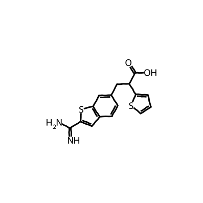 N=C(N)c1cc2ccc(CC(C(=O)O)c3cccs3)cc2s1